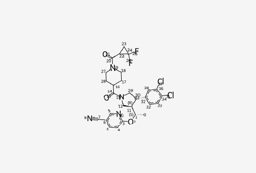 C[C@H](Oc1ccc(C#N)cn1)[C@H]1CN(C(=O)C2CCN(C(=O)C3CC3(F)F)CC2)C[C@@H]1c1ccc(Cl)c(Cl)c1